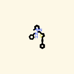 Cc1cccc2nc(-c3ccc(C#Cc4ccccc4)s3)c(NCC3CCCCC3)n12